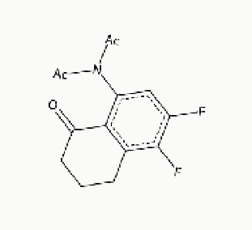 CC(=O)N(C(C)=O)c1cc(F)c(F)c2c1C(=O)CCC2